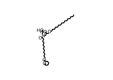 CCCCCCCCCCCCCCCCOCC(O)CN(CCO)C(=O)CCCCCCCCCCCOC1CCCCO1